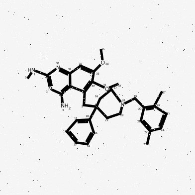 CNc1nc(N)c2c(CC3(c4ccccc4)CCN(Cc4cc(C)ccc4C)CC3)c(OC)c(OC)cc2n1